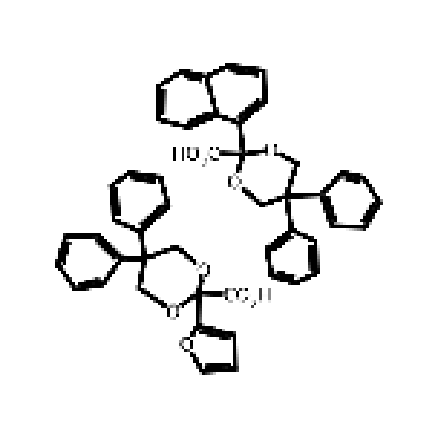 O=C(O)C1(c2cccc3ccccc23)OCC(c2ccccc2)(c2ccccc2)CO1.O=C(O)C1(c2ccco2)OCC(c2ccccc2)(c2ccccc2)CO1